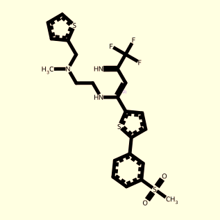 CN(CCN/C(=C\C(=N)C(F)(F)F)c1ccc(-c2cccc(S(C)(=O)=O)c2)s1)Cc1cccs1